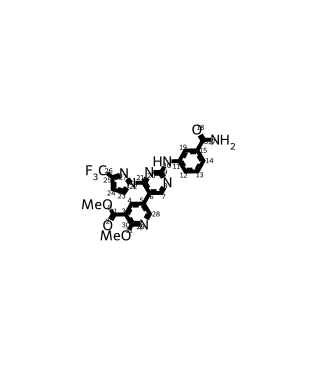 COC(=O)c1cc(-c2cnc(Nc3cccc(C(N)=O)c3)nc2-n2ccc(C(F)(F)F)n2)cnc1OC